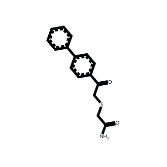 NC(=O)CSCC(=O)c1ccc(-c2ccccc2)cc1